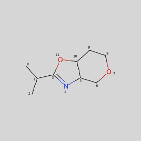 CC(C)C1=NC2COCCC2O1